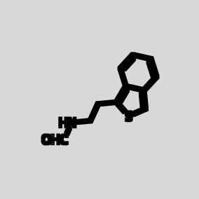 O=CNCCc1scc2ccccc12